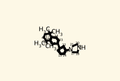 CC1(C)CCC(C)(C)c2cc(-c3cccc(N4CCNCC4)c3)ccc21